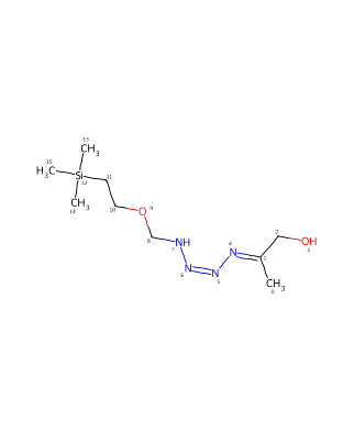 C/C(CO)=N\N=N/NCOCC[Si](C)(C)C